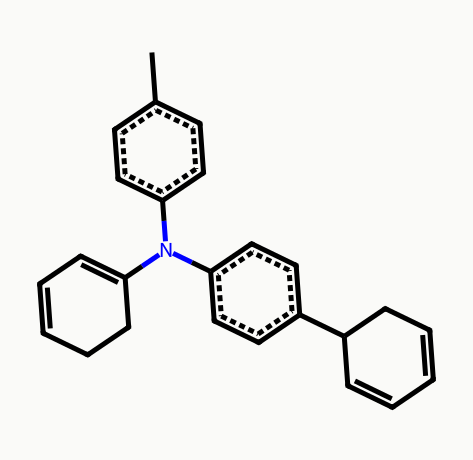 Cc1ccc(N(C2=CC=CCC2)c2ccc(C3C=CC=CC3)cc2)cc1